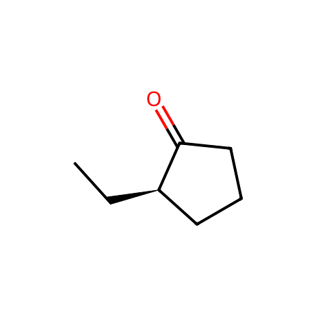 CC[C@@H]1CCCC1=O